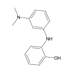 CN(C)c1cccc(Nc2ccccc2O)c1